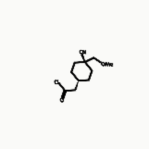 COC[C@]1(C#N)CC[C@H](CC(=O)Cl)CC1